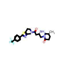 C[C@@H]1CCC(=O)N(C[C@@H](N)CC(=O)N2CCc3sc(-c4ccc(C(F)(F)F)cc4)nc3C2)C1